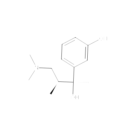 C[C@@H](CN(C)C)[C@](C)(O)c1cccc(O)c1